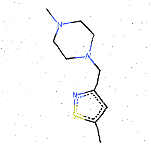 Cc1cc(CN2CCN(C)CC2)ns1